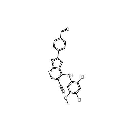 COc1cc(Nc2c(C#N)cnc3sc(-c4ccc(C=O)cc4)cc23)c(Cl)cc1Cl